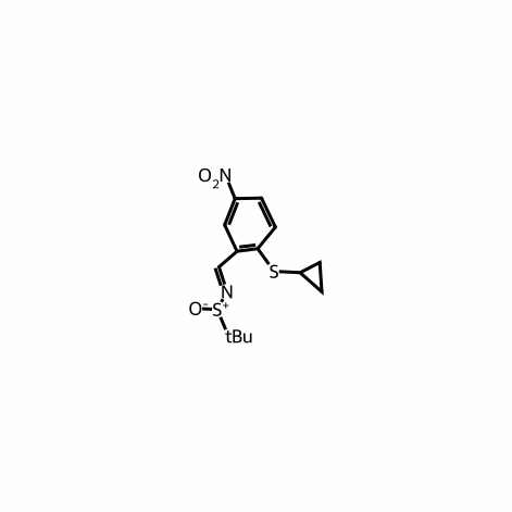 CC(C)(C)[S+]([O-])/N=C/c1cc([N+](=O)[O-])ccc1SC1CC1